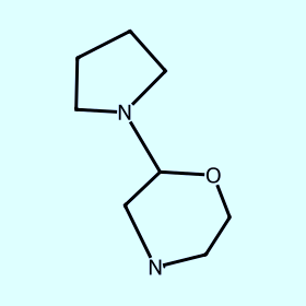 C1CCN(C2C[N]CCO2)C1